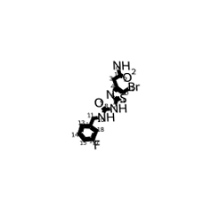 NC(=O)Cc1nc(NC(=O)NCc2cccc(F)c2)sc1Br